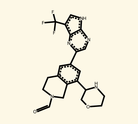 O=CN1CCc2cc(-c3cnc4[nH]cc(C(F)(F)F)c4n3)cc(C3COCCN3)c2C1